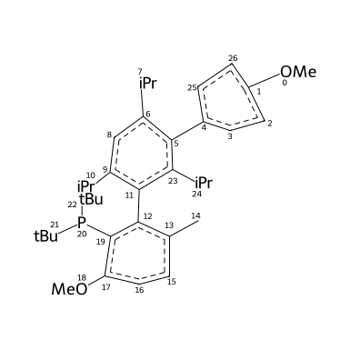 COc1ccc(-c2c(C(C)C)cc(C(C)C)c(-c3c(C)ccc(OC)c3P(C(C)(C)C)C(C)(C)C)c2C(C)C)cc1